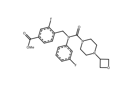 COC(=O)c1ccc(CN(C(=O)N2CCN(C3COC3)CC2)c2cccc(F)c2)c(F)c1